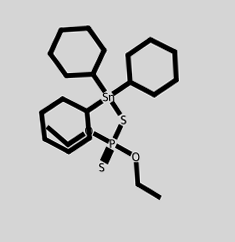 CCOP(=S)(OCC)[S][Sn]([CH]1CCCCC1)([CH]1CCCCC1)[CH]1CCCCC1